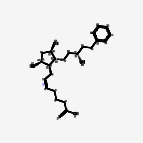 OC(=S)CCC/C=C\C[C@@H]1[C@@H](CC[C@@H](O)CCc2ccccc2)[C@H](O)C[C@@H]1O